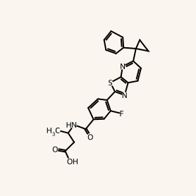 CC(CC(=O)O)NC(=O)c1ccc(-c2nc3ccc(C4(c5ccccc5)CC4)nc3s2)c(F)c1